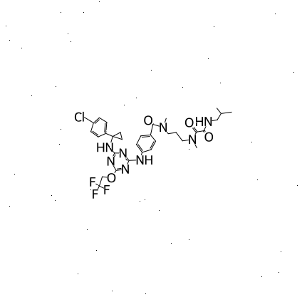 CC(C)CNC(=O)C(=O)N(C)CCCN(C)C(=O)c1ccc(Nc2nc(NC3(c4ccc(Cl)cc4)CC3)nc(OCC(F)(F)F)n2)cc1